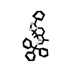 CC(COC(c1ccccc1)(c1ccccc1)c1ccccc1)C1CCN(Cc2ccccc2)C(C)(O[SiH3])C1(C)C(C)(C)C